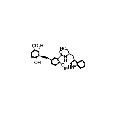 CC(C)Oc1ccc(C#Cc2cc(C(=O)O)ccc2O)cc1C(=O)N[C@@H](CO)Cc1c[nH]c2ccccc12